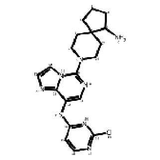 NC1CCCC12CCN(c1ncc(Sc3ccnc(Cl)n3)c3nccn13)CC2